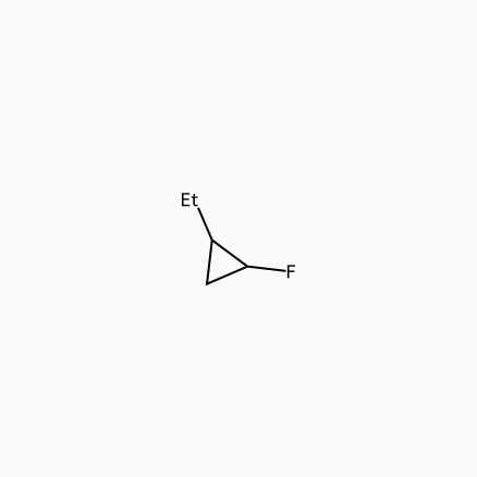 CCC1CC1F